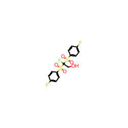 O=S(=O)(c1ccc(F)cc1)C(F)(CO)S(=O)(=O)c1ccc(F)cc1